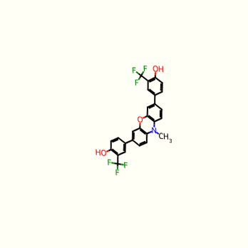 CN1c2ccc(-c3ccc(O)c(C(F)(F)F)c3)cc2Oc2cc(-c3ccc(O)c(C(F)(F)F)c3)ccc21